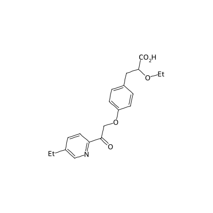 CCOC(Cc1ccc(OCC(=O)c2ccc(CC)cn2)cc1)C(=O)O